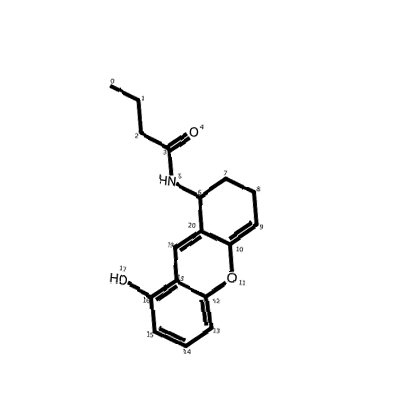 CCCC(=O)NC1CCC=C2Oc3cccc(O)c3C=C21